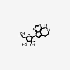 C[C@]1(O)C(n2cc3c4c(ncnc42)NOCC3)O[C@H](CO)[C@H]1O